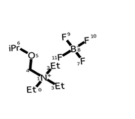 CC[N+](CC)(CC)COC(C)C.F[B-](F)(F)F